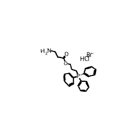 Cl.NCCC(=O)OCCC[P+](c1ccccc1)(c1ccccc1)c1ccccc1.[Br-]